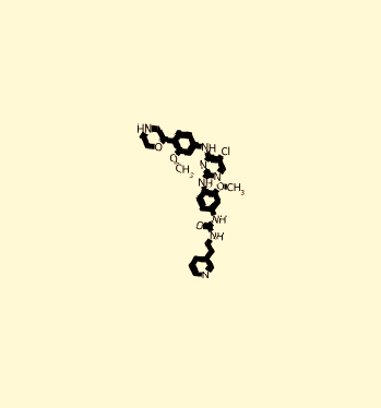 COc1cc(NC(=O)NCCc2cccnc2)ccc1Nc1ncc(Cl)c(Nc2ccc(C3CNCCO3)c(OC)c2)n1